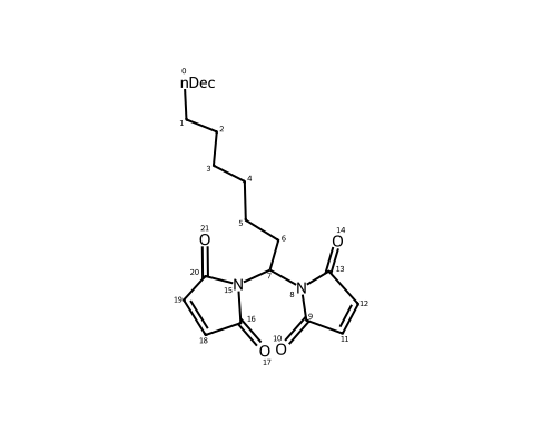 CCCCCCCCCCCCCCCCC(N1C(=O)C=CC1=O)N1C(=O)C=CC1=O